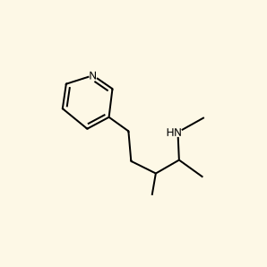 CNC(C)C(C)CCc1cccnc1